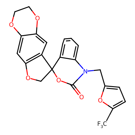 O=C1OC2(COc3cc4c(cc32)OCCO4)c2ccccc2N1Cc1ccc(C(F)(F)F)o1